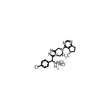 C[C@@H]1CCc2ncnc(N3CCn4c(nnc4C(N)c4ccc(Cl)cc4)C3)c21.Cl.Cl